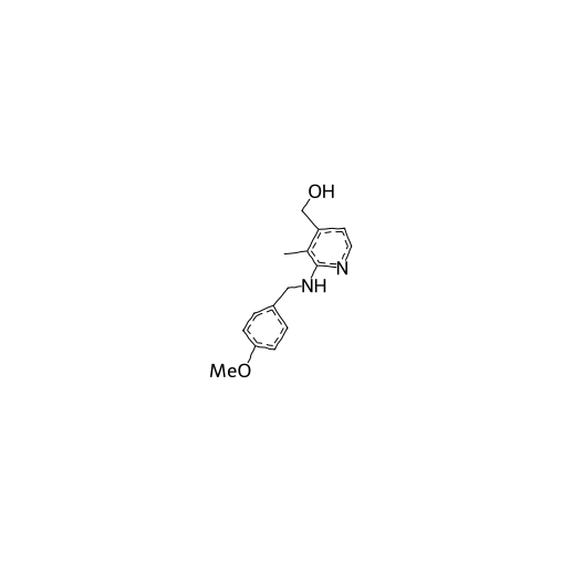 COc1ccc(CNc2nccc(CO)c2C)cc1